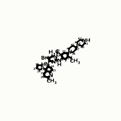 CCc1cc(Nc2ncc(Br)c(Nc3ccc4nc(C)ccc4c3P3CC=CC3)n2)c(OC)cc1N1CCC(N2CCNCC2)CC1